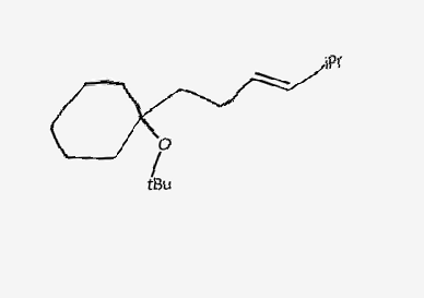 CC(C)/C=C/CCC1(OC(C)(C)C)CCCCC1